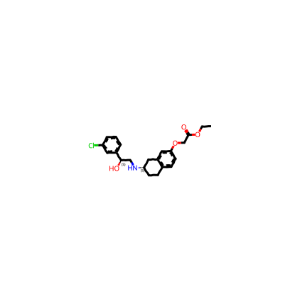 CCOC(=O)COc1ccc2c(c1)C[C@@H](NC[C@@H](O)c1cccc(Cl)c1)CC2